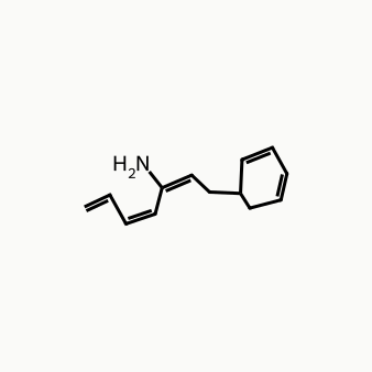 C=C/C=C\C(N)=C/CC1C=CC=CC1